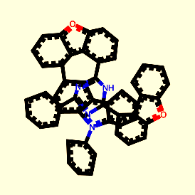 c1ccc(C2=NC(c3cccc4oc5ccccc5c34)NC(c3cccc4oc5cccc(-c6ccc7c(c6)c6ccccc6n7-c6ccccc6)c5c34)=N2)cc1